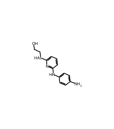 Nc1ccc(Nc2cccc([AsH]CCO)n2)cc1